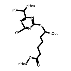 CCCCCCCCC(CCCCC(=O)OCCCCCC)Sc1nc(Cl)nc(C(S)CCCCCC)n1